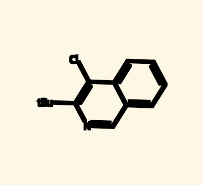 CC(C)(C)c1ncc2ccccc2c1Cl